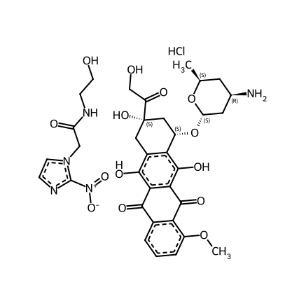 COc1cccc2c1C(=O)c1c(O)c3c(c(O)c1C2=O)C[C@@](O)(C(=O)CO)C[C@@H]3O[C@H]1C[C@H](N)C[C@H](C)O1.Cl.O=C(Cn1ccnc1[N+](=O)[O-])NCCO